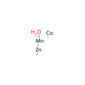 O.[Co].[Mn].[Zn]